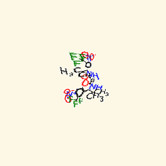 CC(C)C(NC(=O)CC(=O)NC(c1ccc([N+](=O)[O-])c(C(F)(F)F)c1)C(C)C)c1ccc([N+](=O)[O-])c(C(F)(F)F)c1